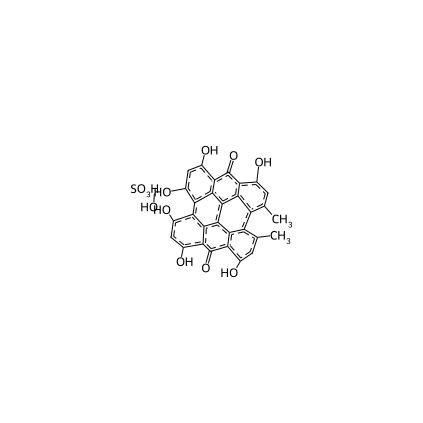 Cc1cc(O)c2c(=O)c3c(O)cc(O)c4c5c(O)cc(O)c6c(=O)c7c(O)cc(C)c8c1c2c(c34)c(c78)c65.O=S(=O)(O)O